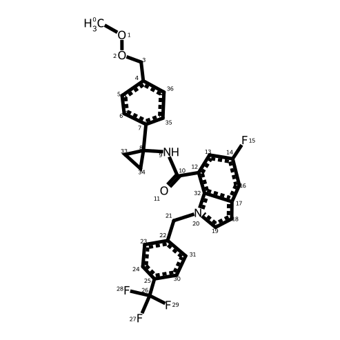 COOCc1ccc(C2(NC(=O)c3cc(F)cc4ccn(Cc5ccc(C(F)(F)F)cc5)c34)CC2)cc1